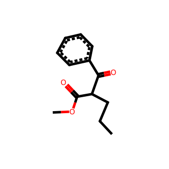 CCCC(C(=O)OC)C(=O)c1ccccc1